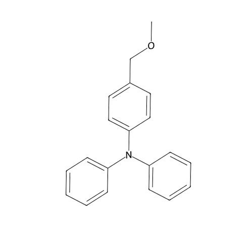 COCc1ccc(N(c2ccccc2)c2ccccc2)cc1